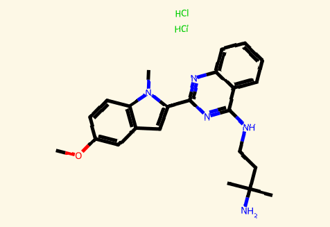 COc1ccc2c(c1)cc(-c1nc(NCCC(C)(C)N)c3ccccc3n1)n2C.Cl.Cl